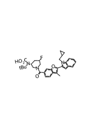 Cc1c(-c2cc3ccccc3n2CC2CC2)oc2cc(C(=O)N3C[C@H](F)C[C@@H](N(C(=O)O)C(C)(C)C)C3)ccc12